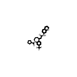 O=C(C=C1CCCN(C(=O)C2CCCC2)c2cc(C(F)(F)F)ccc21)Nc1ccc2cccnc2c1